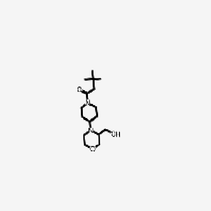 CC(C)(C)CC(=O)N1CCC(N2CCOCC2CO)CC1